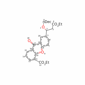 CCCCCCCCCCOC(CC(=O)OCC)c1ccc2oc3c(C(=O)OCC)cccc3c(=O)c2c1